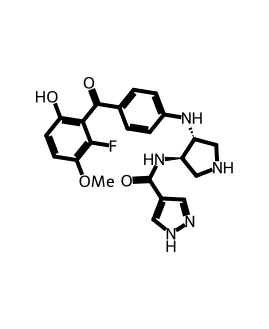 COc1ccc(O)c(C(=O)c2ccc(N[C@@H]3CNC[C@H]3NC(=O)c3cn[nH]c3)cc2)c1F